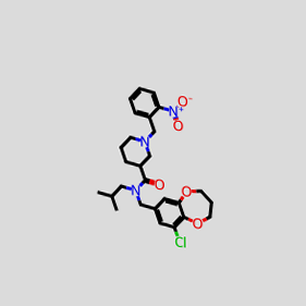 CC(C)CN(Cc1cc(Cl)c2c(c1)OCCCO2)C(=O)C1CCCN(Cc2ccccc2[N+](=O)[O-])C1